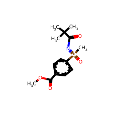 COC(=O)c1ccc(S(C)(=O)=NC(=O)C(C)(C)C)cc1